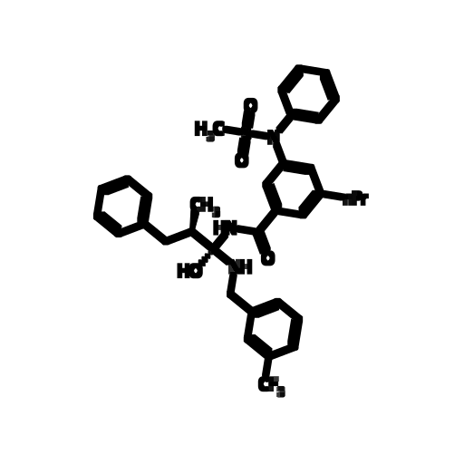 CCCc1cc(C(=O)N[C@@](O)(NCc2cccc(C(F)(F)F)c2)[C@H](C)Cc2ccccc2)cc(N(c2ccccc2)S(C)(=O)=O)c1